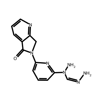 N/N=C\N(N)c1cccc(N2Cc3ncccc3C2=O)n1